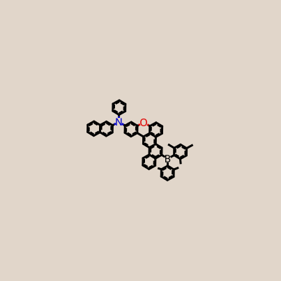 Cc1cc(C)c(B(c2c(C)cccc2C)c2cc3c4cccc5c4c(cc3c3ccccc23)-c2ccc(N(c3ccccc3)c3ccc4ccccc4c3)cc2O5)c(C)c1